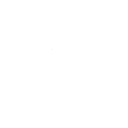 C=C(OC(=O)c1ccccc1)c1cc(Cl)cc(Cl)c1